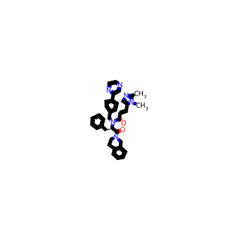 Cc1ncc(C=CC(=O)N(Cc2ccc(-c3cnccn3)cc2)[C@@H](Cc2ccccc2)C(=O)N2CCc3ccccc3C2)n1C